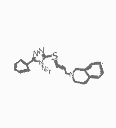 CCCn1c(SCCCN2CCc3cc[c]cc3C2)nnc1-c1ccccc1